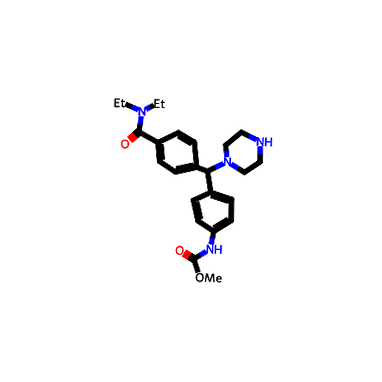 CCN(CC)C(=O)c1ccc(C(c2ccc(NC(=O)OC)cc2)N2CCNCC2)cc1